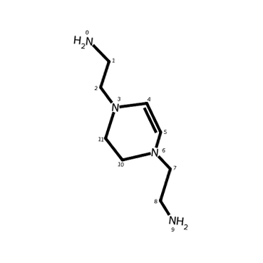 NCCN1C=CN(CCN)CC1